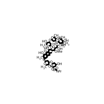 CCCC(=O)O[C@@H]1C(C)O[C@@H](O[C@@H]2C[C@H](Oc3cc4cc5c(c(O)c4c(O)c3C)C(=O)[C@@H](O[C@H]3C[C@@H](O[C@H]4C[C@@H](O[C@H]6C[C@](C)(O)[C@H](O)C(C)O6)[C@@H](O)C(C)O4)[C@H](O)C(C)O3)[C@H]([C@H](OC)C(=O)[C@@H](O)[C@@H](C)O)C5)OC(C)[C@H]2O)C[C@H]1O